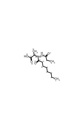 CCC(=O)O.CCCCCCCC(=O)NC(C)C(=O)O